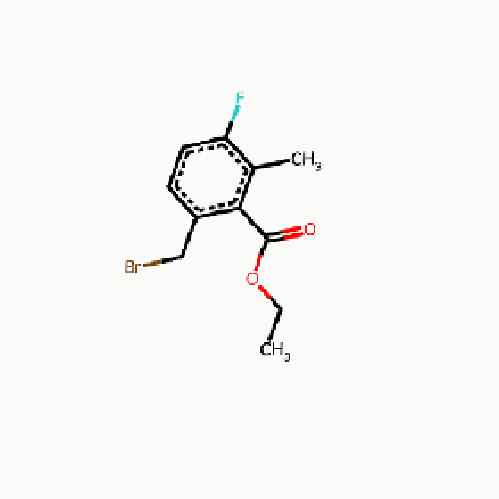 CCOC(=O)c1c(CBr)ccc(F)c1C